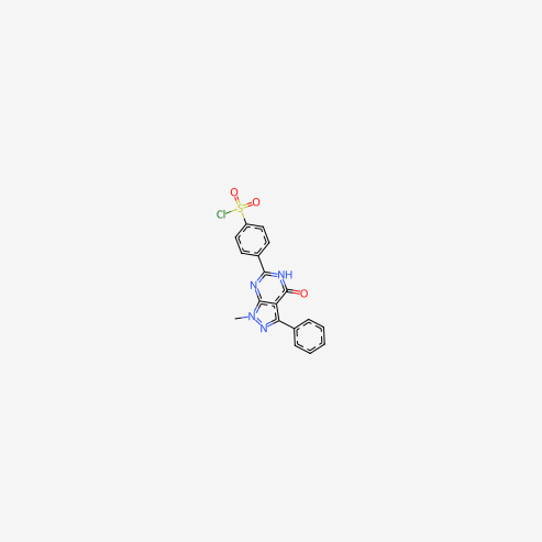 Cn1nc(-c2ccccc2)c2c(=O)[nH]c(-c3ccc(S(=O)(=O)Cl)cc3)nc21